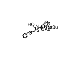 CC(=O)O[C@H](C[C@H](C(C)C)N(C)C(=O)OC(C)(C)C)c1nc(CO)c(CCOCc2ccccc2)s1